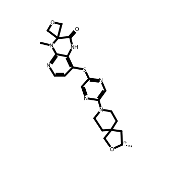 C[C@H]1CC2(CCN(c3cnc(Sc4ccnc5c4NC(=O)C4(COC4)N5C)cn3)CC2)CO1